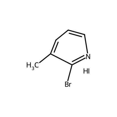 Cc1cccnc1Br.I